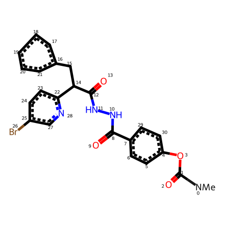 CNC(=O)Oc1ccc(C(=O)NNC(=O)C(Cc2ccccc2)c2ccc(Br)cn2)cc1